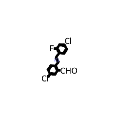 O=Cc1cc(Cl)ccc1/C=C/c1ccc(Cl)cc1F